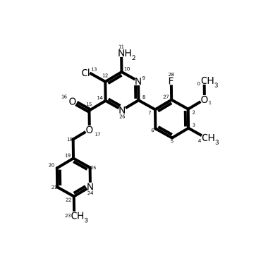 COc1c(C)ccc(-c2nc(N)c(Cl)c(C(=O)OCc3ccc(C)nc3)n2)c1F